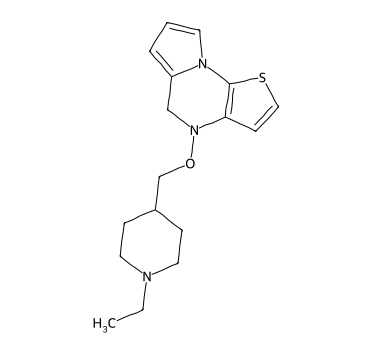 CCN1CCC(CON2Cc3cccn3-c3sccc32)CC1